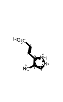 N#Cc1cn[nH]c1C=CC(=O)O